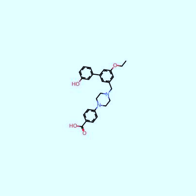 CCOc1cc(CN2CCN(c3ccc(C(=O)O)cc3)CC2)cc(-c2cccc(O)c2)c1